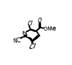 COC(=O)c1cc(Cl)c(C#N)nc1Cl